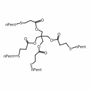 CCCCCSCCC(=O)OCC(COC(=O)CCSCCCCC)(COC(=O)CCSCCCCC)COC(=O)CCSCCCCC